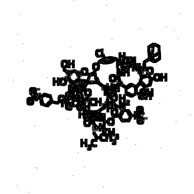 CC(C)C[C@H](C(=O)N[C@H]1C(=O)C[C@@H](CC(N)=O)C(=O)N[C@H]2C(=O)C[C@H]3C(=O)N[C@H](C(=O)N[C@H](C(=O)CC4C5CC6CC(C5)CC4C6)c4cc(O)cc(O)c4-c4cc3ccc4O)[C@H](O)c3ccc(c(Cl)c3)Oc3cc2cc(c3O[C@@H]2C[C@H](CO)[C@@H](O)[C@H](O)[C@H]2O[C@H]2C[C@](C)(NC(=O)OCc3ccc([N+](=O)[O-])cc3)[C@H](O)[C@H](C)O2)Oc2ccc(cc2Cl)[C@H]1O)N(C)C(=O)OCc1ccc([N+](=O)[O-])cc1